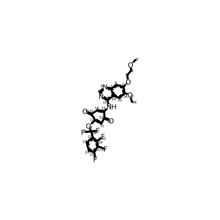 COCCOc1cc2ncnc(NC3=CC(=O)C(OC(F)(F)c4ccc(F)c(F)c4F)=CC3=O)c2cc1OC